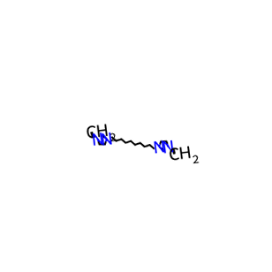 C=CN1CCN(CCCCCCCCCCN2CCN(C=C)C2)C1